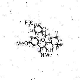 CN/C=C(\C(=N)C(=O)N1CC(F)(F)C[C@@H](C)[C@H]1CNc1ccc(C(F)(F)F)cn1)c1cccc(OC)c1